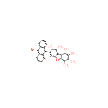 Bc1c(B)c(B)c2c(oc3c(B)c(-c4c5ccccc5c(Br)c5ccccc45)c(B)c(B)c32)c1B